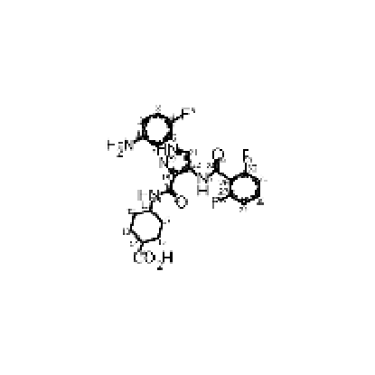 Nc1ccc(F)cc1.O=C(NC1CCC(C(=O)O)CC1)c1n[nH]cc1NC(=O)c1c(F)cccc1F